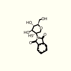 O=C1c2ccccc2C(=O)N1[C@]1(S)CO[C@H](CO)[C@@H](O)[C@@H]1O